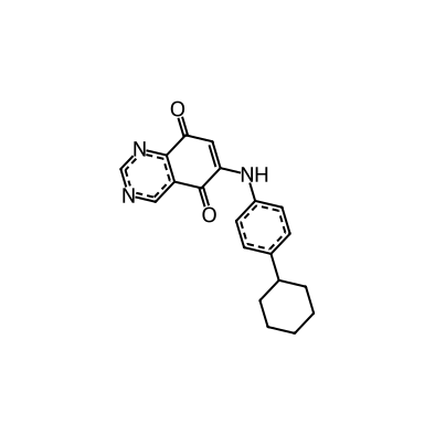 O=C1C(Nc2ccc(C3CCCCC3)cc2)=CC(=O)c2ncncc21